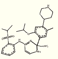 Cc1cc(C2(N)N=C(Nc3ccccc3S(=O)(=O)C(C)C)C=CN2)c(OC(C)C)cc1C1CCNCC1